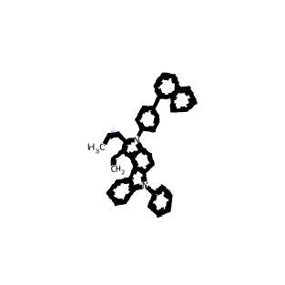 C=Cc1c(/C=C\C)n(-c2ccc(-c3cccc4ccccc34)cc2)c2ccc3c(c4ccccc4n3-c3ccccc3)c12